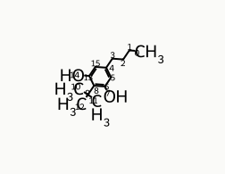 CCCCc1cc(O)c(C(C)(C)C)c(O)c1